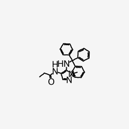 CCC(=O)Nc1cnn(C)c1NC(c1ccccc1)(c1ccccc1)c1ccccc1